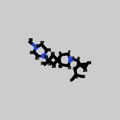 CC(C)CC1(CN2CCC3(CC2)CC(C)(N2CCN(C)CC2)C3)CC1